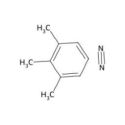 Cc1cccc(C)c1C.N#N